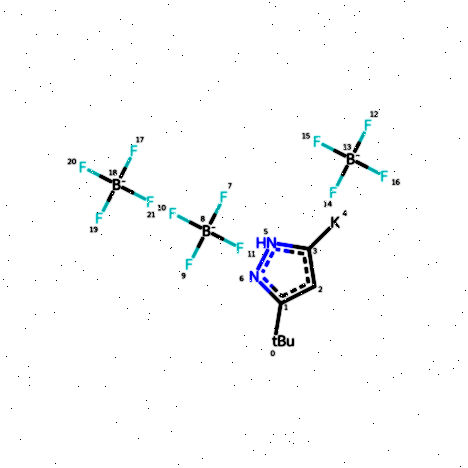 CC(C)(C)c1c[c]([K])[nH]n1.F[B-](F)(F)F.F[B-](F)(F)F.F[B-](F)(F)F